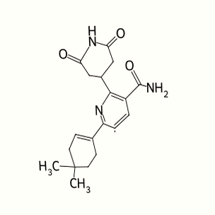 CC1(C)CC=C(c2[c]cc(C(N)=O)c(C3CC(=O)NC(=O)C3)n2)CC1